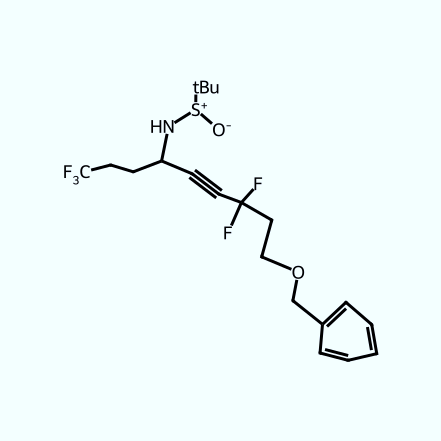 CC(C)(C)[S+]([O-])NC(C#CC(F)(F)CCOCc1ccccc1)CCC(F)(F)F